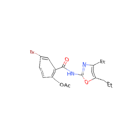 CCc1nc(NC(=O)c2cc(Br)ccc2OC(C)=O)oc1CC